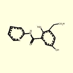 O=C(O)Cc1cc(O)cc(C(=O)Nc2ccccn2)c1O